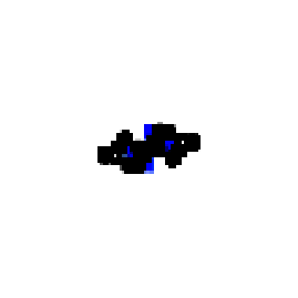 N#Cc1c2ccc(N(c3cccc4ccccc34)c3c(C=Cc4ccccc4)ccc4ccccc34)cc2c(C#N)c2ccc(N(c3cccc4ccccc34)c3c(C=Cc4ccccc4)ccc4ccccc34)cc12